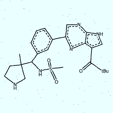 CC(C)(C)C(=O)c1c[nH]c2ncc(-c3cccc(C(NS(C)(=O)=O)C4(C)CCNC4)c3)nc12